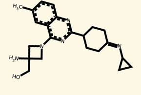 Cc1ccc2nc(C3CCC(=NC4CC4)CC3)nc(N3CC(N)(CO)C3)c2c1